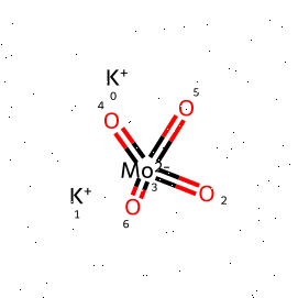 [K+].[K+].[O]=[Mo-2](=[O])(=[O])=[O]